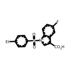 CCc1ccc(S(=O)(=O)n2cc(C(=O)O)c3cc(F)ccc32)cc1